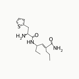 CCC/C(=C\C(CC)NC(=O)[C@@H](N)Cc1cccs1)C(N)=O